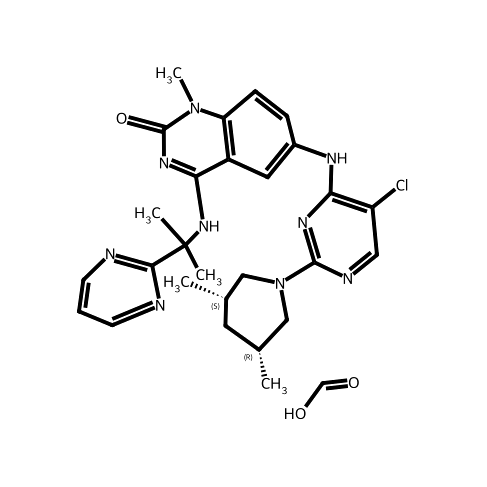 C[C@@H]1C[C@H](C)CN(c2ncc(Cl)c(Nc3ccc4c(c3)c(NC(C)(C)c3ncccn3)nc(=O)n4C)n2)C1.O=CO